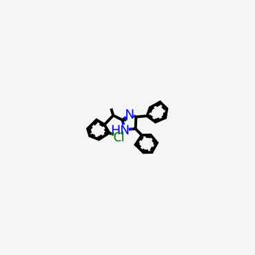 CC(C1=NC(c2ccccc2)C(c2ccccc2)N1)c1ccccc1Cl